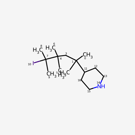 CC(C)(CC(C)(C)C(C)(C)I)C1CCNCC1